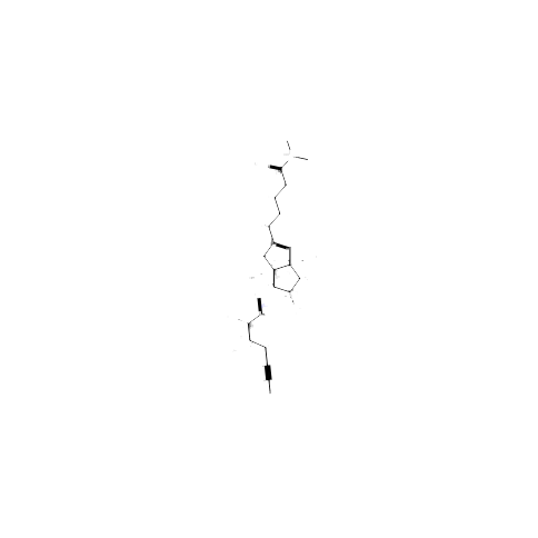 CCC#CC[C@H](C)[C@@H](O)/C=C/[C@@H]1[C@H]2CC(CCCCC(=O)N(C)C)=C[C@H]2C[C@H]1O